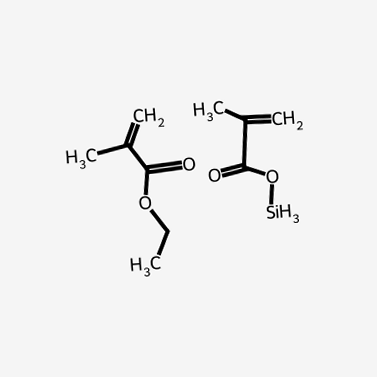 C=C(C)C(=O)OCC.C=C(C)C(=O)O[SiH3]